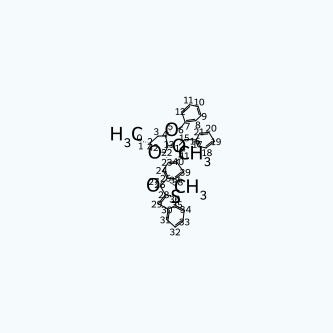 CC[C@@H]1C[C@H](OCc2ccccc2)[C@@H](OCc2ccccc2)[C@H](c2cc(C(=O)c3cc4ccccc4s3)c(C)cc2C)O1